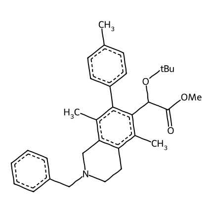 COC(=O)C(OC(C)(C)C)c1c(C)c2c(c(C)c1-c1ccc(C)cc1)CN(Cc1ccccc1)CC2